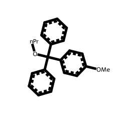 CCCOC(c1ccccc1)(c1ccccc1)c1ccc(OC)cc1